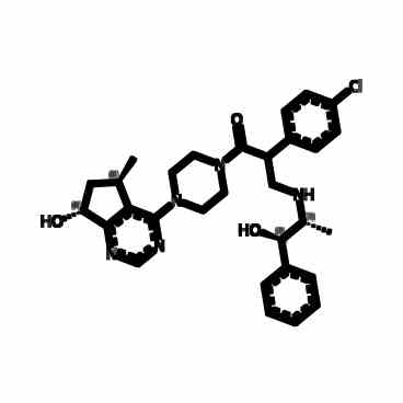 C[C@@H]1C[C@@H](O)c2ncnc(N3CCN(C(=O)C(CN[C@H](C)[C@H](O)c4ccccc4)c4ccc(Cl)cc4)CC3)c21